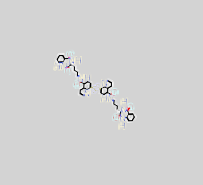 O=C1N[C@@H](CCCCNC(=O)c2ccc(SSc3ccc(C(=O)NCCCC[C@@H]4NC(=O)c5ccccc5NC4=O)c4cccnc34)c3ncccc23)C(=O)Nc2ccccc21